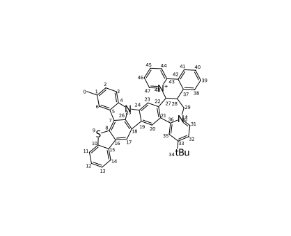 Cc1ccc2c(c1)c1c3sc4ccccc4c3cc3c4cc5c(cc4n2c31)C1C(C[n+]2ccc(C(C)(C)C)cc2-5)c2ccccc2-c2cccc[n+]21